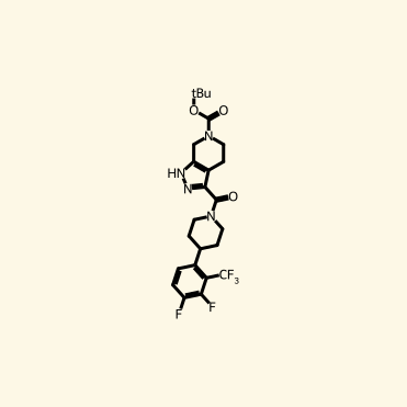 CC(C)(C)OC(=O)N1CCc2c(C(=O)N3CCC(c4ccc(F)c(F)c4C(F)(F)F)CC3)n[nH]c2C1